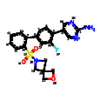 Nc1ncc(-c2ccc(-c3ccccc3S(=O)(=O)N3CC4(COC4)C3)cc2F)cn1